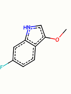 COc1c[nH]c2cc(F)ccc12